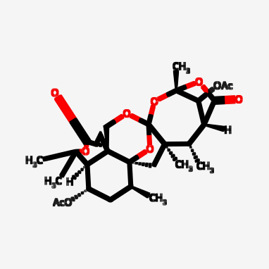 CC(=O)OC1[C@@H]2C(=O)O[C@@]1(C)OC13OC[C@]45C=CC(=O)OC(C)(C)[C@@H]4[C@@H](OC(C)=O)C[C@H](C)[C@]5(C[C@]1(C)[C@H]2C)O3